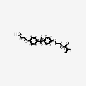 C=C(C)C(=O)OCCOc1ccc(C(C)(C)c2ccc(OCCO)cc2)cc1